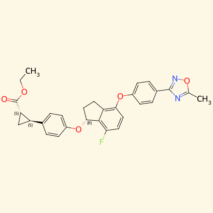 CCOC(=O)[C@H]1C[C@@H]1c1ccc(O[C@@H]2CCc3c(Oc4ccc(-c5noc(C)n5)cc4)ccc(F)c32)cc1